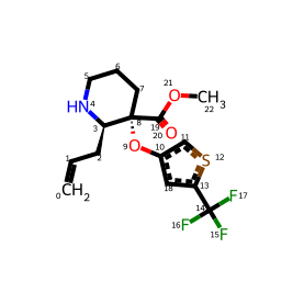 C=CC[C@H]1NCCC[C@@]1(Oc1csc(C(F)(F)F)c1)C(=O)OC